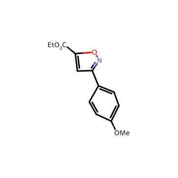 CCOC(=O)c1cc(-c2ccc(OC)cc2)no1